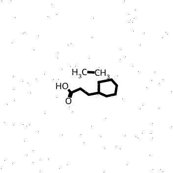 CC.O=C(O)CCC1CCCCC1